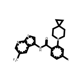 O=C(Nc1csc2ncc(C(F)(F)F)cc12)c1ccc(I)cc1N1CCC2(CC1)CC2